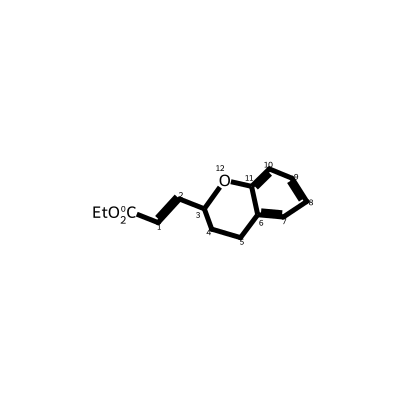 CCOC(=O)/C=C/C1CCc2ccccc2O1